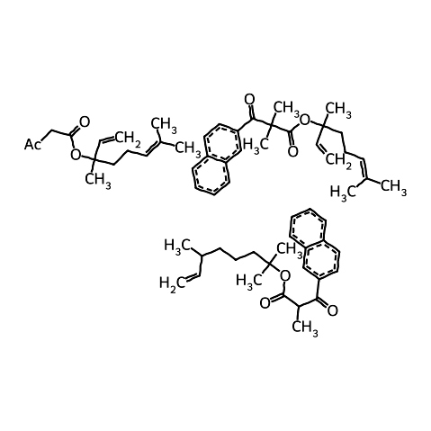 C=CC(C)(CCC=C(C)C)OC(=O)C(C)(C)C(=O)c1ccc2ccccc2c1.C=CC(C)(CCC=C(C)C)OC(=O)CC(C)=O.C=CC(C)CCCC(C)(C)OC(=O)C(C)C(=O)c1ccc2ccccc2c1